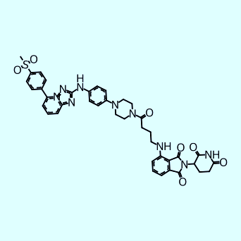 CS(=O)(=O)c1ccc(-c2cccc3nc(Nc4ccc(N5CCN(C(=O)CCCNc6cccc7c6C(=O)N(C6CCC(=O)NC6=O)C7=O)CC5)cc4)nn23)cc1